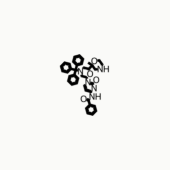 CC1(C2CN(C(c3ccccc3)(c3ccccc3)c3ccccc3)CC(n3ccc(NC(=O)c4ccccc4)nc3=O)O2)CNCCO1